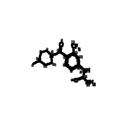 CN1CCN(C(=O)c2ccc(NC(N)=O)cc2C(F)(F)F)CC1